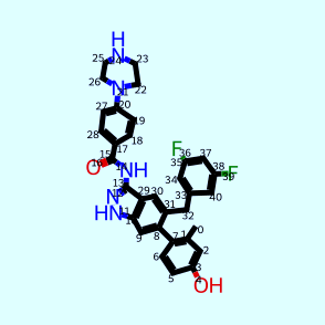 Cc1cc(O)ccc1-c1cc2[nH]nc(NC(=O)c3ccc(N4CCNCC4)cc3)c2cc1Cc1cc(F)cc(F)c1